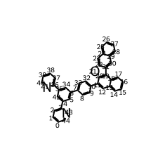 c1ccc(-c2cc(-c3ccc(-c4cc5ccccc5c5c4oc4cc6ccccc6cc45)cc3)cc(-c3ccccn3)c2)nc1